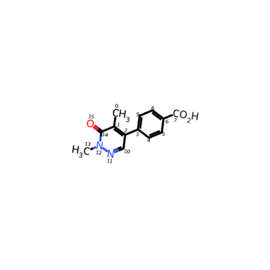 Cc1c(-c2ccc(C(=O)O)cc2)cnn(C)c1=O